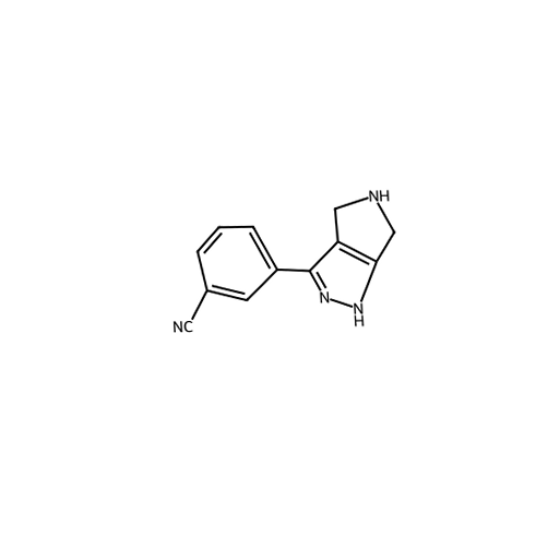 N#Cc1cccc(-c2n[nH]c3c2CNC3)c1